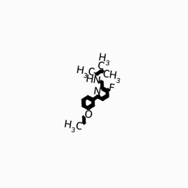 CCCOc1cccc(-c2ccc(F)c(CN[C@H](C)C(C)C)n2)c1